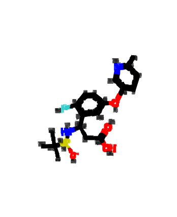 Cc1ccc(Oc2ccc(F)c([C@@H](CC(=O)O)N[S@@+]([O-])C(C)(C)C)c2)cn1